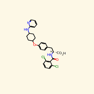 O=C(N[C@H](Cc1ccc(OC2CCC(Nc3ccccn3)CC2)cc1)C(=O)O)c1c(Cl)cccc1Cl